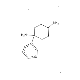 NC1CCC(N)(c2ccccc2)CC1